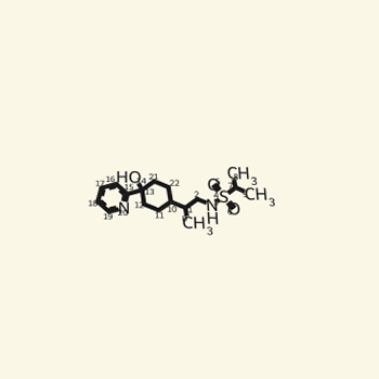 CC(CNS(=O)(=O)C(C)C)C1CCC(O)(c2ccccn2)CC1